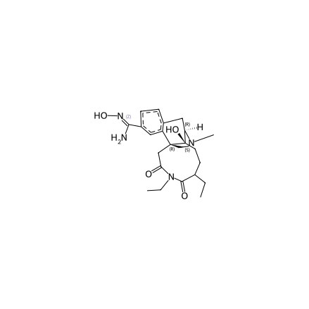 CCC1CC[C@@]2(O)[C@H]3Cc4ccc(/C(N)=N/O)cc4[C@@]2(CCN3C)CC(=O)N(CC)C1=O